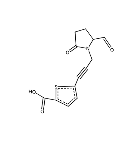 O=CC1CCC(=O)N1CC#Cc1ccc(C(=O)O)s1